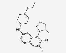 CCSN1CCC(Nc2ncc3cc(C)c(=O)n(C4CCCC4C)c3n2)CC1